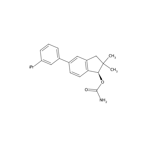 CC(C)c1cccc(-c2ccc3c(c2)CC(C)(C)[C@H]3OC(N)=O)c1